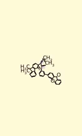 C=N/C=c1\c(=C/C)n(-c2cccc(-c3ccc4c(=O)c5ccccc5oc4c3)c2)c2c3c(ccc12)C(C)(C)c1ccccc1-3